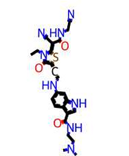 CCn1c(=O)c(=C=CNc2ccc3c(C(=O)NCCN(C)C)c[nH]c3c2)s/c1=C(/C#N)C(=O)NCC#N